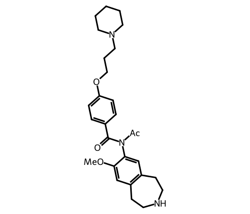 COc1cc2c(cc1N(C(C)=O)C(=O)c1ccc(OCCCN3CCCCC3)cc1)CCNCC2